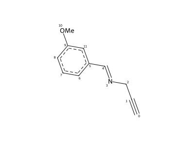 C#CCN=Cc1cccc(OC)c1